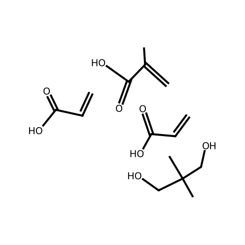 C=C(C)C(=O)O.C=CC(=O)O.C=CC(=O)O.CC(C)(CO)CO